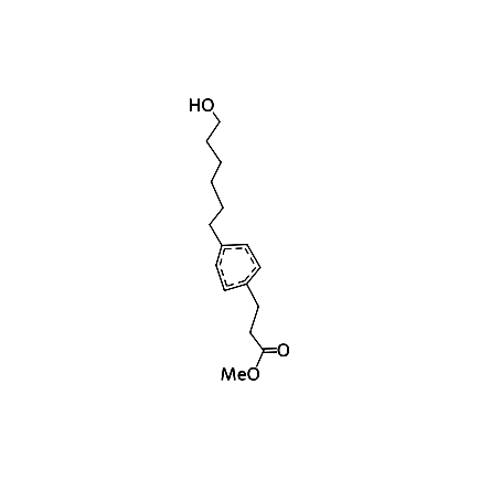 COC(=O)CCc1ccc(CCCCCCO)cc1